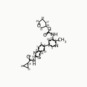 Cc1ncc(-c2ccc3nc(NC(=O)C4CC4)sc3c2)cc1NC(=O)OC1CCCOC1